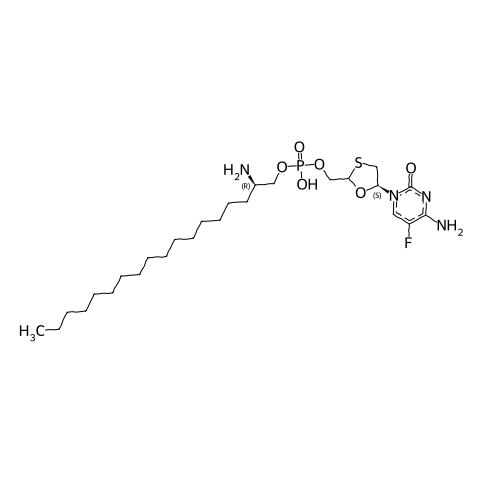 CCCCCCCCCCCCCCCC[C@@H](N)COP(=O)(O)OCC1O[C@H](n2cc(F)c(N)nc2=O)CS1